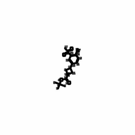 CC(C)(C)OC(=O)N1CC(c2ccc(Br)c(S(C)(=O)=O)c2)C1